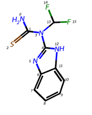 NC(=S)N(c1nc2ccccc2[nH]1)C(F)F